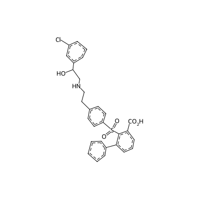 O=C(O)c1cccc(-c2ccccc2)c1S(=O)(=O)c1ccc(CCNCC(O)c2cccc(Cl)c2)cc1